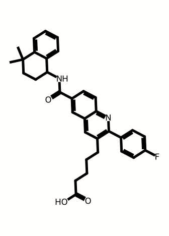 CC1(C)CCC(NC(=O)c2ccc3nc(-c4ccc(F)cc4)c(CCCCC(=O)O)cc3c2)c2ccccc21